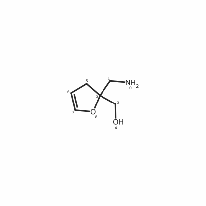 NCC1(CO)CC=CO1